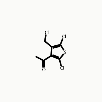 CC(=O)c1c(Cl)sc(Cl)c1CCl